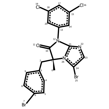 C[C@@]1(Cc2ccc(Br)cc2)C(=O)N(c2cc(Cl)cc(Cl)c2)c2ncc(Br)n21